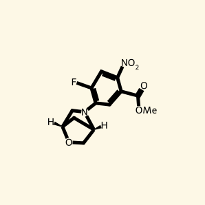 COC(=O)c1cc(N2C[C@@H]3C[C@H]2CO3)c(F)cc1[N+](=O)[O-]